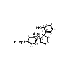 CCCCCCCc1ccc(C2(C(=O)O)C=CC=CC2(CCCCC)c2ccccc2C#N)cc1